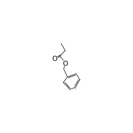 CCC(=O)OCc1cc[c]cc1